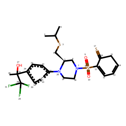 CC(C)SC[C@H]1CN(S(=O)(=O)C2=CC=CCC2=S)CCN1c1ccc(C(C)(O)C(F)(F)F)cc1